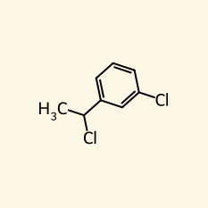 CC(Cl)c1cccc(Cl)c1